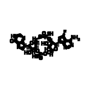 Nc1ncnc2c1c(F)cn2[C@@H]1O[C@@H]2COP(=O)(S)O[C@H]3[C@@H](O)[C@H](n4cnc5c(=O)[nH]cnc54)O[C@@H]3COP(=O)(S)O[C@@H]1[C@@H]2O